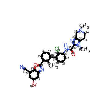 Cc1c(-c2nc3cc(Br)cc(C#N)c3o2)cccc1-c1cccc(NC(=O)c2nc3c(n2C)CCN(C)C3)c1Cl